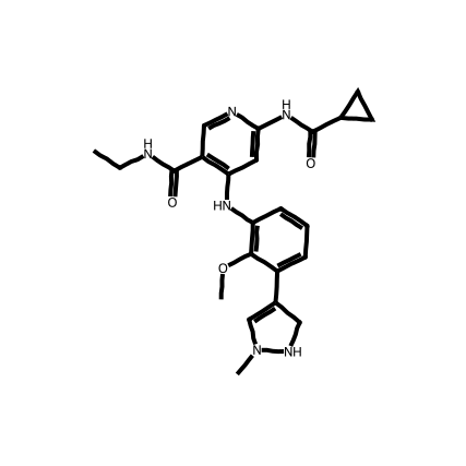 CCNC(=O)c1cnc(NC(=O)C2CC2)cc1Nc1cccc(C2=CN(C)NC2)c1OC